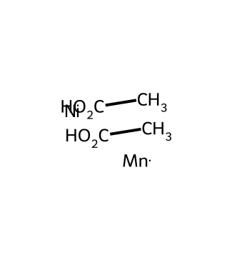 CC(=O)O.CC(=O)O.[Mn].[Ni]